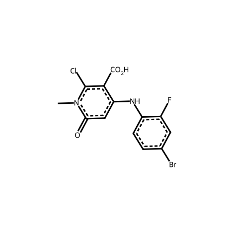 Cn1c(Cl)c(C(=O)O)c(Nc2ccc(Br)cc2F)cc1=O